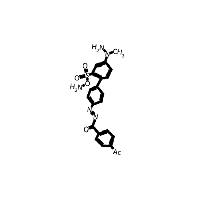 CC(=O)c1ccc(C(=O)N=Nc2ccc(-c3ccc(N(C)N)cc3S(=O)(=O)ON)cc2)cc1